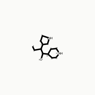 CCC(C1CCNC1)C([O])C1CCNCC1